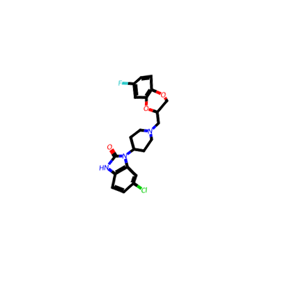 O=c1[nH]c2ccc(Cl)cc2n1C1CCN(CC2COc3ccc(F)cc3O2)CC1